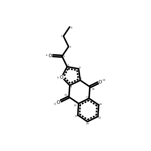 CCCC(=O)c1cc2c(o1)C(=O)c1ccccc1C2=O